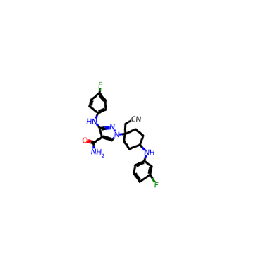 N#CCC1(n2cc(C(N)=O)c(Nc3ccc(F)cc3)n2)CCC(Nc2cccc(F)c2)CC1